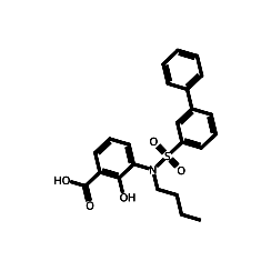 CCCCN(c1cccc(C(=O)O)c1O)S(=O)(=O)c1cccc(-c2ccccc2)c1